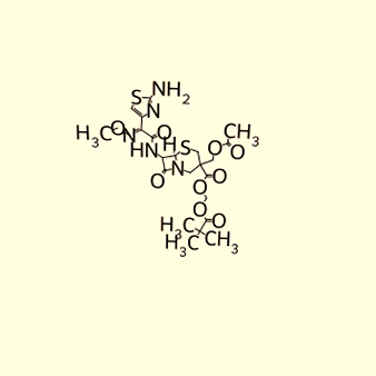 CON=C(C(=O)NC1C(=O)N2CC(COC(C)=O)(C(=O)OCOC(=O)C(C)(C)C)CS[C@H]12)c1csc(N)n1